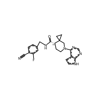 N#Cc1ccc(CNC(=O)[C@H]2CCN(c3ncnc4[nH]ccc34)CC23CC3)cc1F